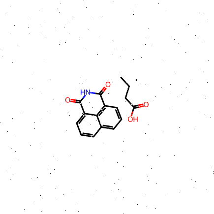 CCCC(=O)O.O=C1NC(=O)c2cccc3cccc1c23